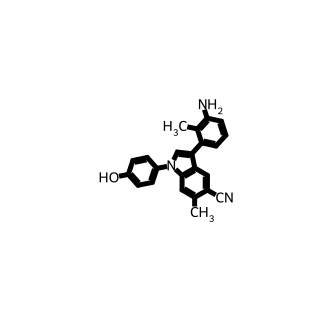 Cc1cc2c(cc1C#N)c(-c1cccc(N)c1C)cn2-c1ccc(O)cc1